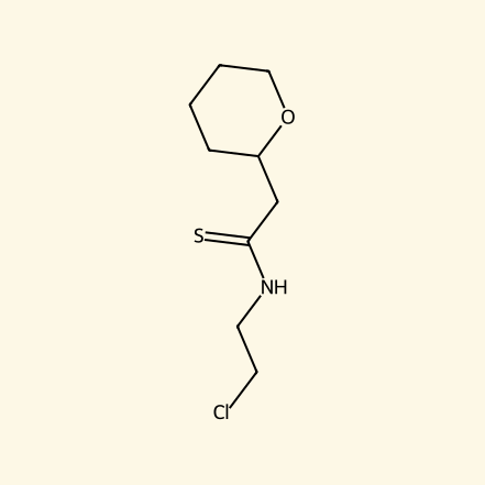 S=C(CC1CCCCO1)NCCCl